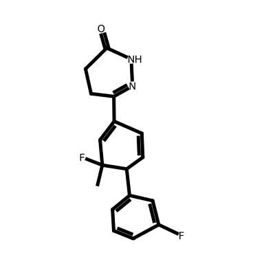 CC1(F)C=C(C2=NNC(=O)CC2)C=CC1c1cccc(F)c1